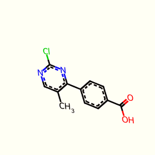 Cc1cnc(Cl)nc1-c1ccc(C(=O)O)cc1